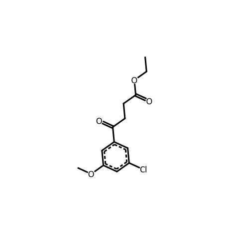 CCOC(=O)CCC(=O)c1cc(Cl)cc(OC)c1